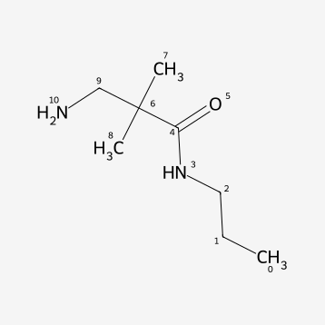 CCCNC(=O)C(C)(C)CN